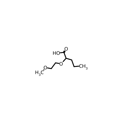 CCCC(OCCOC)C(=O)O